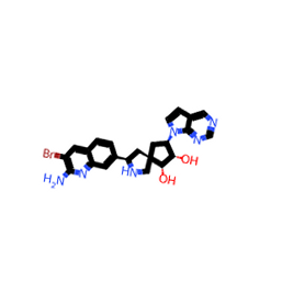 Nc1nc2cc([C@H]3C[C@@]4(CN3)C[C@@H](n3ccc5cncnc53)[C@H](O)[C@@H]4O)ccc2cc1Br